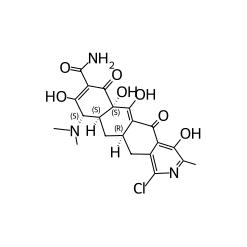 Cc1nc(Cl)c2c(c1O)C(=O)C1=C(O)[C@]3(O)C(=O)C(C(N)=O)=C(O)[C@@H](N(C)C)[C@@H]3C[C@@H]1C2